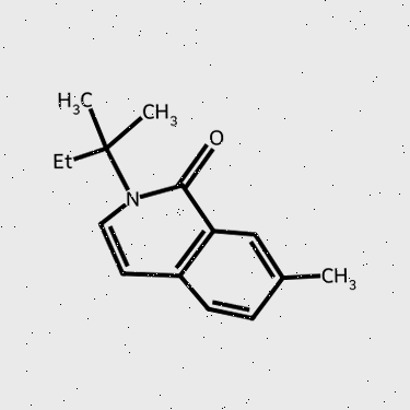 CCC(C)(C)n1ccc2ccc(C)cc2c1=O